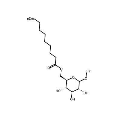 CCCCCCCCCCCCCCCCCC(=O)OC[C@H]1OC(OCCC)[C@H](O)[C@@H](O)[C@@H]1O